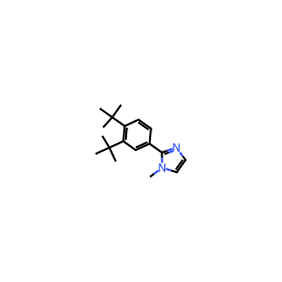 Cn1ccnc1-c1ccc(C(C)(C)C)c(C(C)(C)C)c1